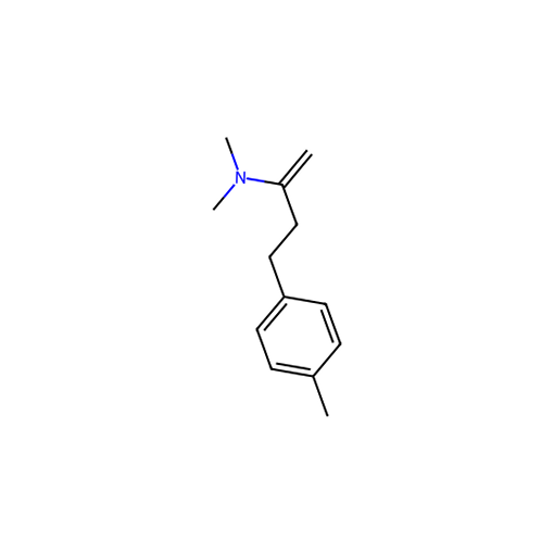 C=C(CCc1ccc(C)cc1)N(C)C